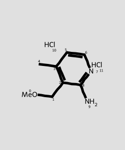 COCc1c(C)ccnc1N.Cl.Cl